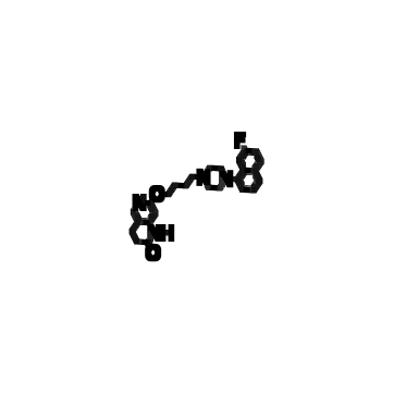 O=C1CCc2cnc(OCCCCN3CCN(c4cccc5ccc(F)cc45)CC3)cc2N1